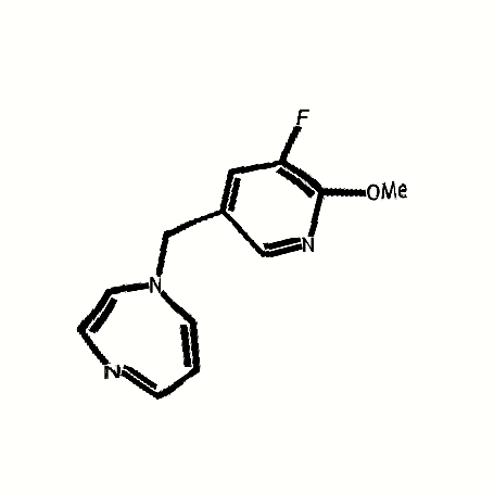 COc1ncc(CN2C=CC=NC=C2)cc1F